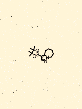 CC1(C)OB(c2cnn3c2CCCCC3)OC1(C)C